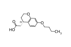 CCCCOc1ccc2c(c1)OCC[C@H]2CC(=O)O